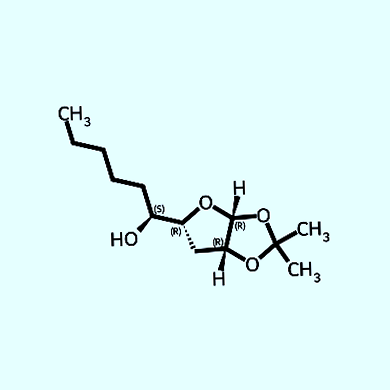 CCCCC[C@H](O)[C@H]1C[C@H]2OC(C)(C)O[C@H]2O1